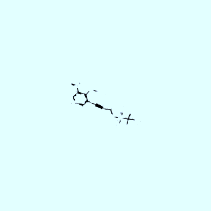 COc1c(C#CCO[Si](C)(C)C(C)(C)C)cncc1[N+](=O)[O-]